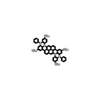 CC(C)(C)c1ccc2c(c1)N(c1ccccc1)c1cc(C(C)(C)C)cc3c1B2c1cc2ccc4c5c(cc6ccc-3c1c6c25)B1c2ccc(C(C)(C)C)cc2N(c2ccccc2)c2cc(C(C)(C)C)cc-4c21